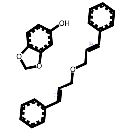 C(=C\c1ccccc1)/COC/C=C/c1ccccc1.Oc1ccc2c(c1)OCO2